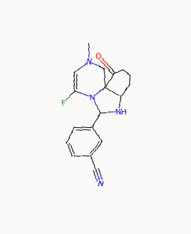 CN1C=C(F)N2C(c3cccc(C#N)c3)NC3CCCC(=O)C32C1